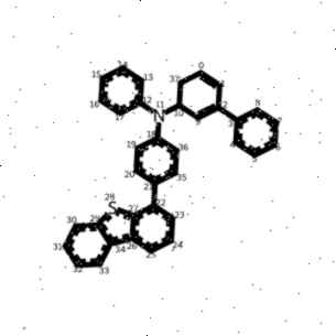 C1=CC(c2ccccc2)=CC(N(c2ccccc2)c2ccc(-c3cccc4c3sc3ccccc34)cc2)C1